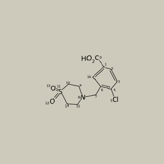 O=C(O)c1ccc(Cl)c(CN2CCS(=O)(=O)CC2)c1